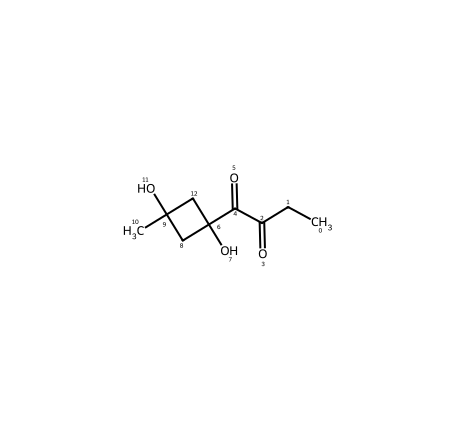 CCC(=O)C(=O)C1(O)CC(C)(O)C1